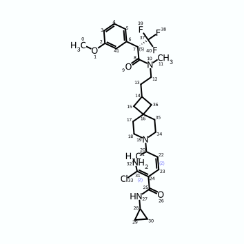 COc1cccc([C@@H](C(=O)N(C)CCC2CC3(CCN(C(C)/C=C\C(C(=O)NC4CC4)=C(/N)Cl)CC3)C2)C(F)(F)F)c1